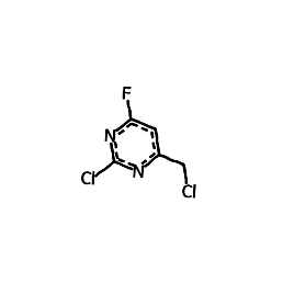 Fc1cc(CCl)nc(Cl)n1